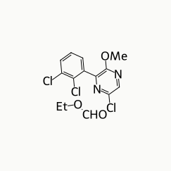 CCOC=O.COc1ncc(Cl)nc1-c1cccc(Cl)c1Cl